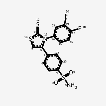 NS(=O)(=O)c1ccc(-c2csc(=S)n2-c2ccc(F)c(F)c2)cc1